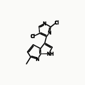 Cc1ccc2c(-c3nc(Cl)ncc3Cl)c[nH]c2n1